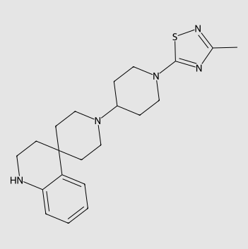 Cc1nsc(N2CCC(N3CCC4(CCNc5ccccc54)CC3)CC2)n1